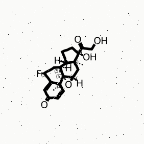 C[C@]12C=CC(=O)C=C1[C@@H](F)C[C@H]1[C@@H]3CC[C@](O)(C(=O)CO)[C@@]3(C)C[C@@H]3O[C@@]312